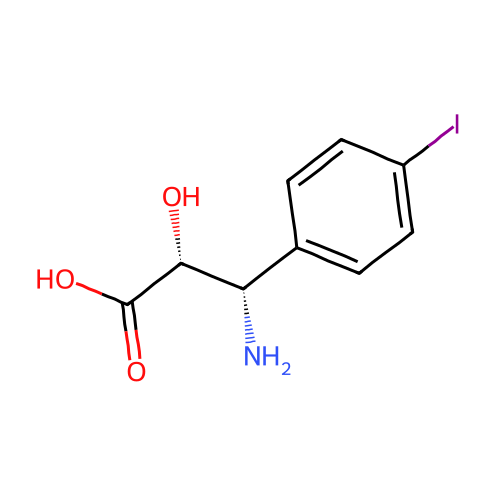 N[C@@H](c1ccc(I)cc1)[C@@H](O)C(=O)O